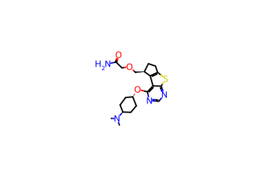 CN(C)[C@H]1CC[C@H](Oc2ncnc3sc4c(c23)[C@@H](COCC(N)=O)CC4)CC1